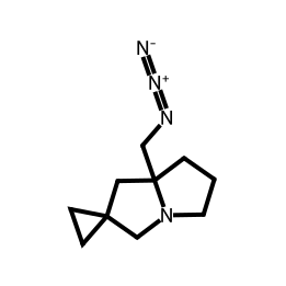 [N-]=[N+]=NCC12CCCN1CC1(CC1)C2